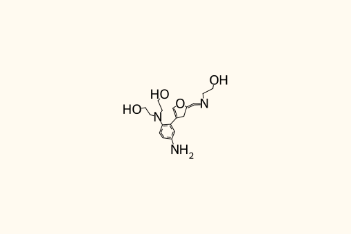 Nc1ccc(N(CCO)CCO)c(C2=COC(=C=NCCO)C2)c1